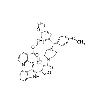 CCOC(=O)c1cccnc1Sc1c(N(C=O)[C@H](C)C(=O)N2CCN(C(c3ccc(OC)cc3)c3ccc(OC)cc3)CC2)[nH]c2ccccc12